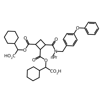 CCCN(Cc1ccc(Oc2ccccc2)cc1)C(=O)C1CC(C(=O)OC(C(=O)O)C2CCCCC2)C1C(=O)OC(C(=O)O)C1CCCCC1